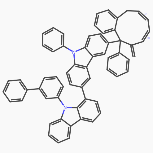 C=C1/C=C\C=C/Cc2ccccc2C1(c1ccccc1)c1ccc2c(c1)c1cc(-c3cccc4c5ccccc5n(-c5cccc(-c6ccccc6)c5)c34)ccc1n2-c1ccccc1